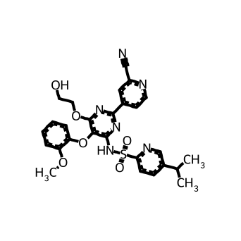 COc1ccccc1Oc1c(NS(=O)(=O)c2ccc(C(C)C)cn2)nc(-c2ccnc(C#N)c2)nc1OCCO